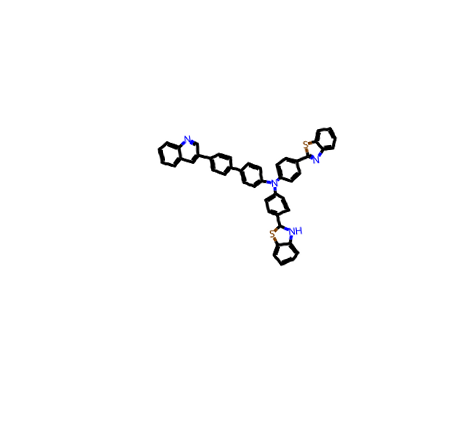 c1ccc2c(c1)NC(c1ccc(N(c3ccc(-c4ccc(-c5cnc6ccccc6c5)cc4)cc3)c3ccc(-c4nc5ccccc5s4)cc3)cc1)S2